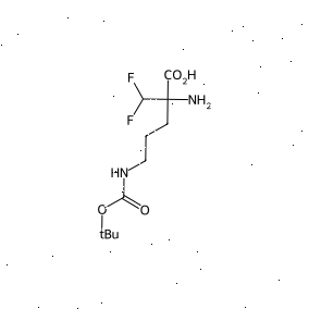 CC(C)(C)OC(=O)NCCCC(N)(C(=O)O)C(F)F